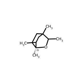 CC1O[C@@]2(C)CCC1(C)CC2C